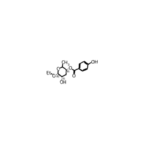 CCO[C@@H]1OC(C)[C@H](OC(=O)c2ccc(O)cc2)C[C@@H]1O